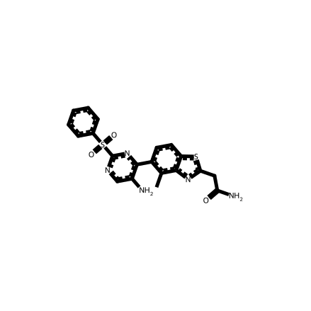 Cc1c(-c2nc(S(=O)(=O)c3ccccc3)ncc2N)ccc2sc(CC(N)=O)nc12